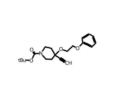 C#CC1(OCCOc2ccccc2)CCN(C(=O)OC(C)(C)C)CC1